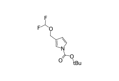 CC(C)(C)OC(=O)n1ccc(COC(F)F)c1